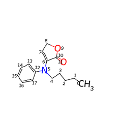 CCCCCN(C1=CCOC1=O)c1ccccc1